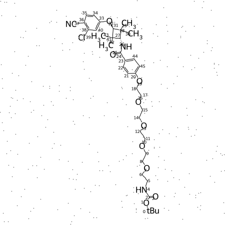 CC(C)(C)OC(=O)NCCOCCOCCOCCOCCOc1ccc(C(=O)N[C@H]2C(C)(C)[C@H](Oc3ccc(C#N)c(Cl)c3)C2(C)C)cc1